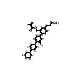 C=C(C)C(=O)OCc1cc(CCCO)ccc1-c1ccc(-c2ccc(C3CCCCC3)cc2)c(C)c1